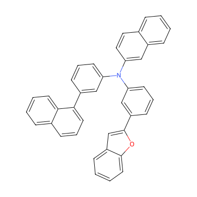 c1cc(-c2cc3ccccc3o2)cc(N(c2cccc(-c3cccc4ccccc34)c2)c2ccc3ccccc3c2)c1